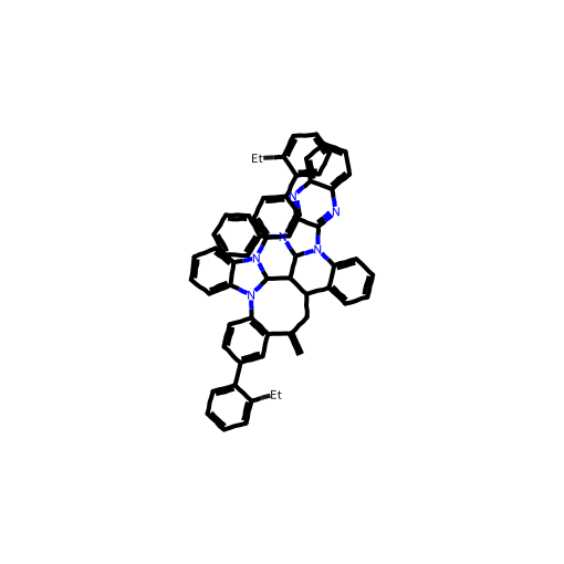 C=C1CC2c3ccccc3N3c4nc5ccccc5nc4N(c4ccccc4)C3C2C2N(c3ccc(-c4ccccc4CC)cc3)c3ccccc3N2c2ccc(-c3ccccc3CC)cc21